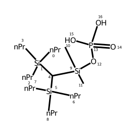 CCC[Si](CCC)(CCC)C([Si](CCC)(CCC)CCC)[Si](C)(C)OP(=O)(O)O